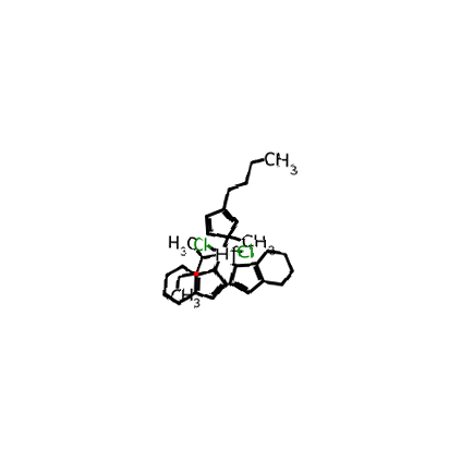 CCCCC1=C[C](C)([Hf]([Cl])([Cl])([CH](C)CCC)([CH]2C=CC3=C2CCCC3)[CH]2C=CC3=C2CCCC3)C=C1